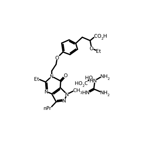 CCCc1nn(C)c2c(=O)n(CCOc3ccc(CC(OCC)C(=O)O)cc3)c(CC)nc12.N=C(N)NN.O=C(O)O